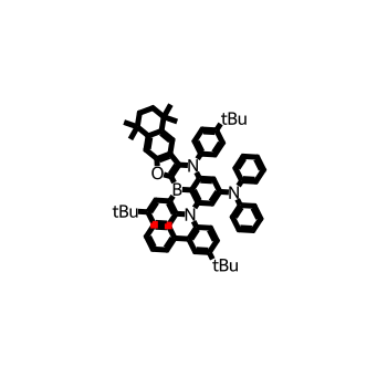 CC(C)(C)c1ccc(N2c3cc(N(c4ccccc4)c4ccccc4)cc4c3B(c3cc(C(C)(C)C)ccc3N4c3ccc(C(C)(C)C)cc3-c3ccccc3)c3oc4cc5c(cc4c32)C(C)(C)CCC5(C)C)cc1